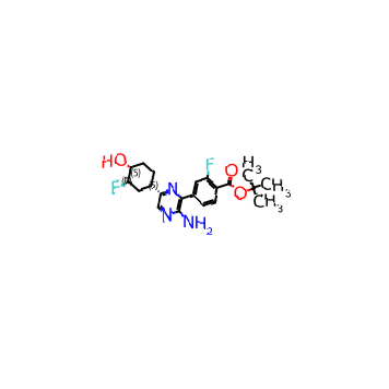 CC(C)(C)OC(=O)c1ccc(-c2nc([C@H]3CC[C@H](O)[C@H](F)C3)cnc2N)cc1F